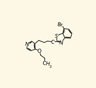 CCCOc1ccncc1CCCCc1nc2cccc(Br)c2s1